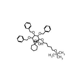 C[Si](C)(C)OCCCCCOC1C(OCc2ccccc2)C(OCc2ccccc2)C(OCc2ccccc2)C2(O)C3(CCCCC3)C12O